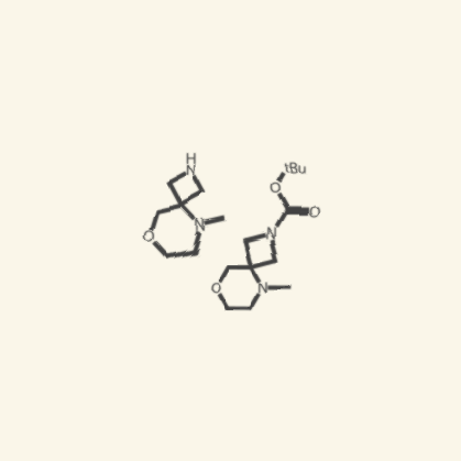 CN1CCOCC12CN(C(=O)OC(C)(C)C)C2.CN1CCOCC12CNC2